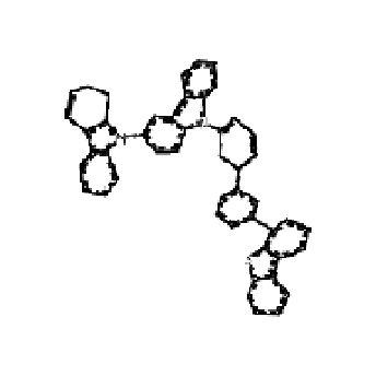 C1=CC(c2cccc(-c3cccc4c3sc3ccccc34)c2)CC(n2c3ccccc3c3cc(-n4c5c(c6ccccc64)C=CCC5)ccc32)=C1